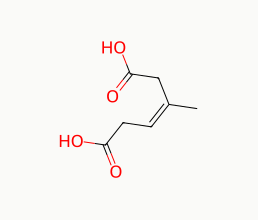 CC(=CCC(=O)O)CC(=O)O